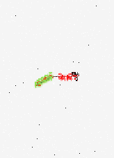 OC(COCCOCCOC(c1ccccc1)(c1ccccc1)c1ccccc1)COOCCCCCCC(F)(F)C(F)(F)C(F)(F)C(F)(F)C(F)(F)C(F)(F)C(F)(F)C(F)(F)C(F)(F)C(F)(F)C(F)(F)C(F)(F)F